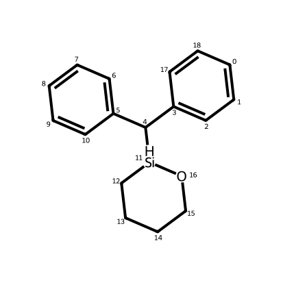 c1ccc(C(c2ccccc2)[SiH]2CCCCO2)cc1